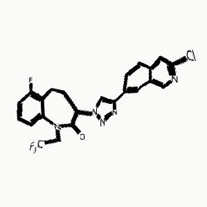 O=C1C(n2cc(-c3ccc4cc(Cl)ncc4c3)nn2)CCc2c(F)cccc2N1CC(F)(F)F